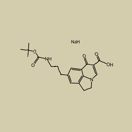 CC(C)(C)OC(=O)NCCCc1cc2c3c(c1)c(=O)c(C(=O)O)cn3CC2.[NaH]